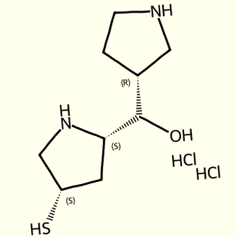 Cl.Cl.OC([C@@H]1CCNC1)[C@@H]1C[C@H](S)CN1